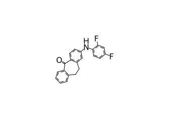 O=C1c2ccccc2CCc2cc(Nc3ccc(F)cc3F)ccc21